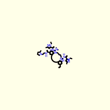 C=Cc1cc2c3c(c1)nc(NC(=C)c1cc(C)nn1CC)n3C/C=C/CN(C(NC(=C)c1cc(C)nn1CC)N(C)C)c1ccc(C(=C)NCCN3CCCC3C)cc1CCCCC2